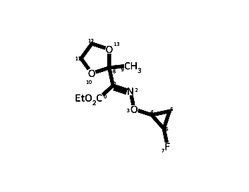 CCOC(=O)C(=NOC1CC1F)C1(C)OCCO1